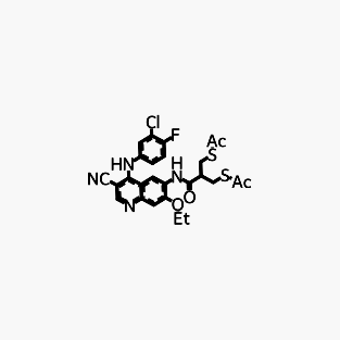 CCOc1cc2ncc(C#N)c(Nc3ccc(F)c(Cl)c3)c2cc1NC(=O)C(CSC(C)=O)CSC(C)=O